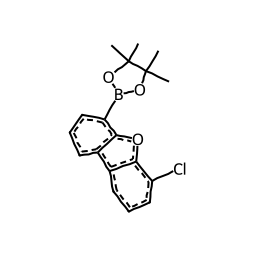 CC1(C)OB(c2cccc3c2oc2c(Cl)cccc23)OC1(C)C